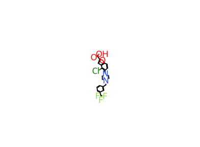 O=C(O)c1cc2c(Cl)c(N3CCN(Cc4cccc(C(F)(F)F)c4)CC3)ccc2o1